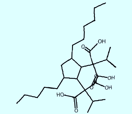 CCCCCCC1CC(CCCCC)C(C(C(=O)O)(C(=O)O)C(C)C)C1C(C(=O)O)(C(=O)O)C(C)C